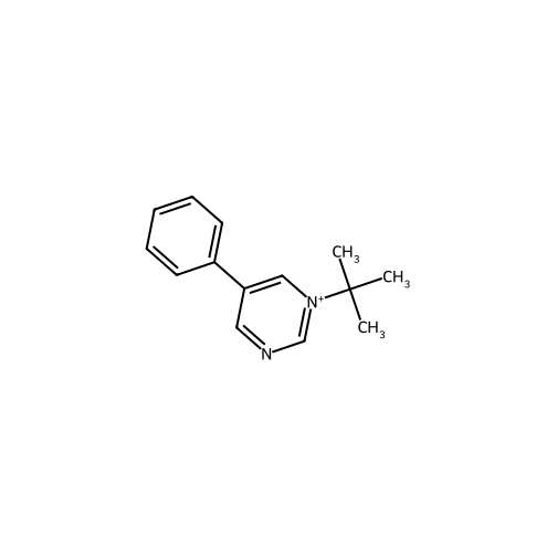 CC(C)(C)[n+]1cncc(-c2ccccc2)c1